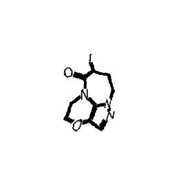 O=C1C(I)CCn2ncc3c2N1CCO3